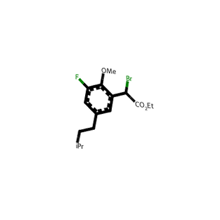 CCOC(=O)C(Br)c1cc(CCC(C)C)cc(F)c1OC